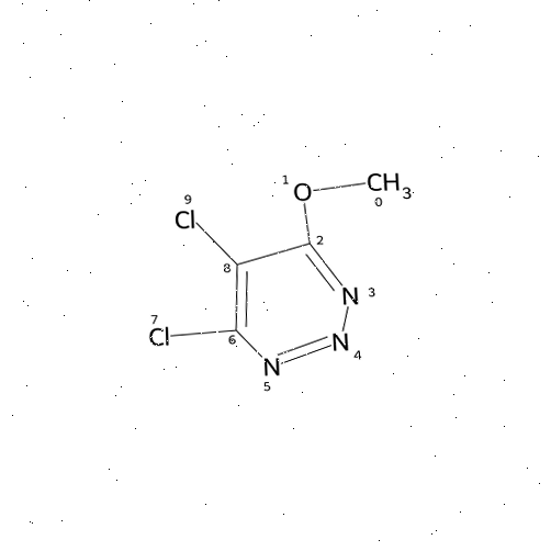 COc1nnnc(Cl)c1Cl